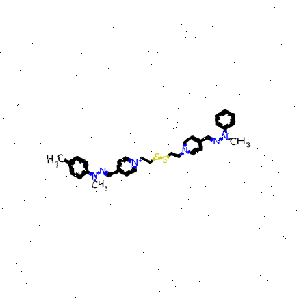 Cc1ccc(N(C)/N=C/c2cc[n+](CCSSCCN3C=CC(/C=N/N(C)c4ccccc4)=CC3)cc2)cc1